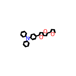 c1ccc(N(c2ccccc2)c2ccc(-c3cc4oc(-c5ccco5)cc4o3)cc2)cc1